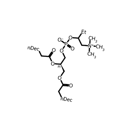 CCCCCCCCCCCC(=O)OC[C@H](COP(=O)([O-])OC(CC)C[N+](C)(C)C)OC(=O)CCCCCCCCCCC